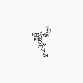 Cc1c(Cl)cccc1OC[C@H](O)CNc1cc[nH]c(=O)c1-c1nc2cc3c(cc2[nH]1)C(=O)N(C1CCN(CCO)CC1)C3=O